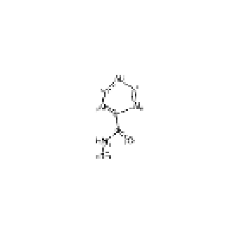 CCCNC(=O)c1ncncn1